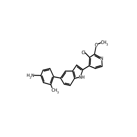 COc1nccc(-c2cc3cc(-c4ccc(N)cc4C)ccc3[nH]2)c1Cl